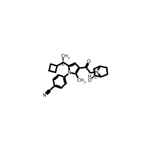 Cc1c(C(=O)CN2C3CCC2[C@@H](O)C3)cc([C@H](C)C2CCC2)n1-c1ccc(C#N)cc1